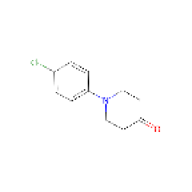 O=C1CCN(c2ccc(Cl)cc2)CC1